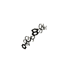 Cc1oc(-c2ccccc2)nc1CCOc1ccc2c(c1)CC[C@@H]2C(C)C(=O)O